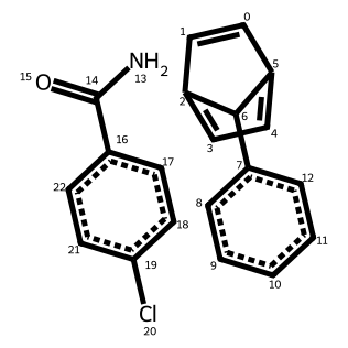 C1=CC2=CC=C1C2c1ccccc1.NC(=O)c1ccc(Cl)cc1